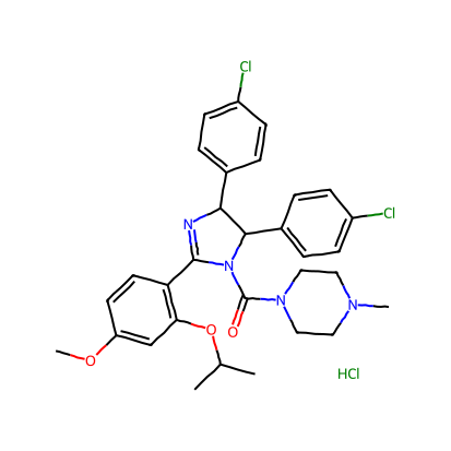 COc1ccc(C2=NC(c3ccc(Cl)cc3)C(c3ccc(Cl)cc3)N2C(=O)N2CCN(C)CC2)c(OC(C)C)c1.Cl